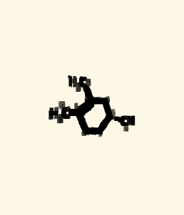 CC1=C(C)C[C@H](C#N)CC1